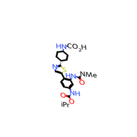 CNC(=O)Nc1cc(NC(=O)OC(C)C)ccc1-c1cnc([C@H]2CC[C@H](NC(=O)O)CC2)s1